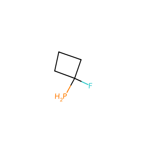 FC1(P)CCC1